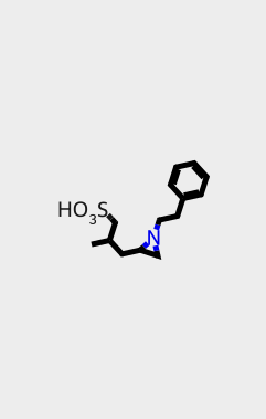 CC(CC1CN1CCc1ccccc1)CS(=O)(=O)O